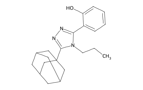 CCCn1c(-c2ccccc2O)nnc1C12CC3CC(CC(C3)C1)C2